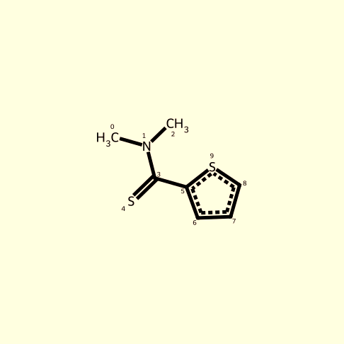 CN(C)C(=S)c1cccs1